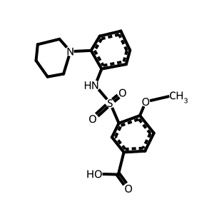 COc1ccc(C(=O)O)cc1S(=O)(=O)Nc1ccccc1N1CCCCC1